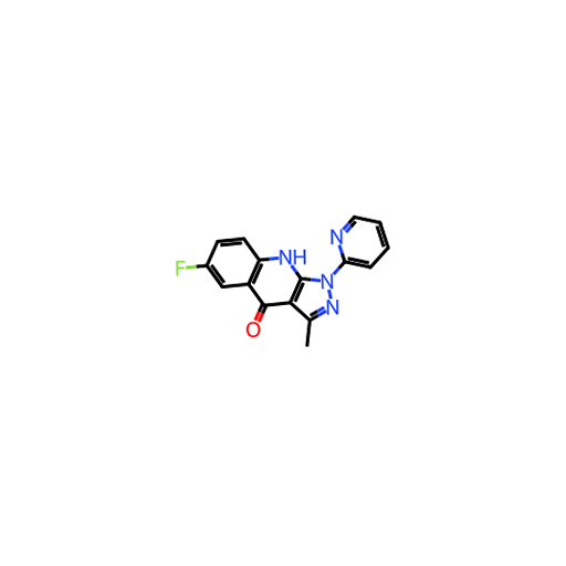 Cc1nn(-c2ccccn2)c2[nH]c3ccc(F)cc3c(=O)c12